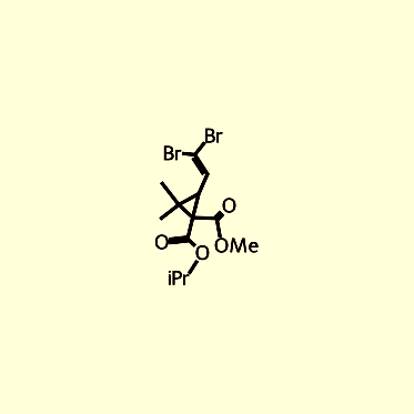 COC(=O)C1(C(=O)OC(C)C)C(C=C(Br)Br)C1(C)C